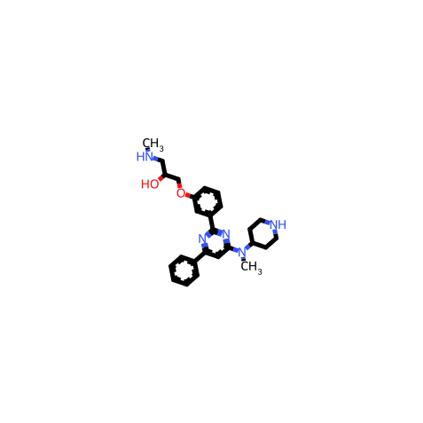 CNCC(O)COc1cccc(-c2nc(-c3ccccc3)cc(N(C)C3CCNCC3)n2)c1